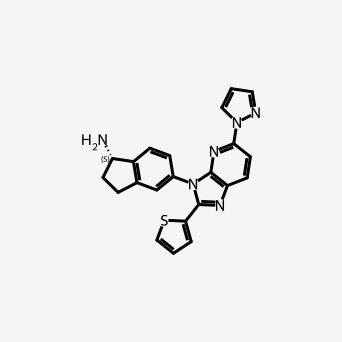 N[C@H]1CCc2cc(-n3c(-c4cccs4)nc4ccc(-n5cccn5)nc43)ccc21